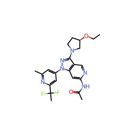 CCO[C@@H]1CCN(c2nn(-c3cc(C)nc(C(C)(F)F)c3)c3cc(NC(C)=O)ncc23)C1